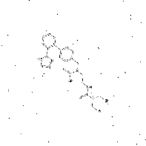 CCCC(=O)N(CCNC(=O)[C@H](CS)CC(C)C)Cc1ccc(-c2ccccc2-c2nnn[nH]2)cc1